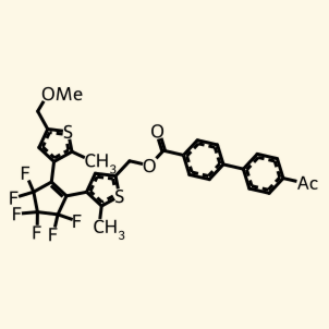 COCc1cc(C2=C(c3cc(COC(=O)c4ccc(-c5ccc(C(C)=O)cc5)cc4)sc3C)C(F)(F)C(F)(F)C2(F)F)c(C)s1